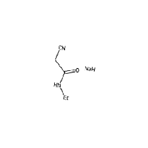 CCNC(=O)CC#N.[NaH]